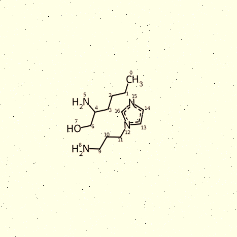 CCCCC(N)CO.NCCCn1ccnc1